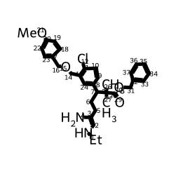 CCN/C=C(\N)CCC(c1ccc(Cl)c(COCc2ccc(OC)cc2)c1)C(C)(C)C(=O)OCc1ccccc1